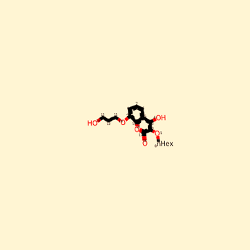 CCCCCCOc1c(O)c2cccc(OCCCO)c2oc1=O